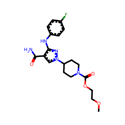 COCCOC(=O)N1CCC(n2cc(C(N)=O)c(Nc3ccc(F)cc3)n2)CC1